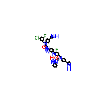 O=C(Cn1nnc2cc(-c3ncc(CN(c4ccc(C5=CCNC5)cc4)C(O)Cn4nnc5ccccc54)cc3F)ccc21)N(Cc1cc(F)cc(Cl)c1)c1ccc(C2CNC2)cc1